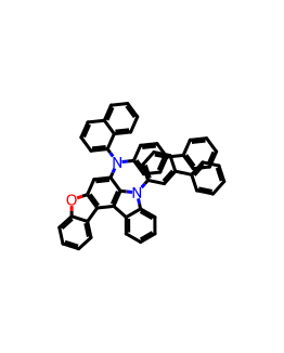 c1ccc(-c2ccc(N(c3cccc4ccccc34)c3cc4oc5ccccc5c4c4c5ccccc5n(-c5cccc(-c6ccccc6)c5)c34)cc2)cc1